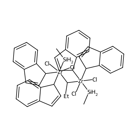 CC[CH]([Zr]([Cl])([Cl])([SiH2]C)([CH]1C=Cc2ccccc21)[CH]1C=Cc2ccccc21)[Zr]([Cl])([Cl])([SiH2]C)([CH]1C=Cc2ccccc21)[CH]1C=Cc2ccccc21